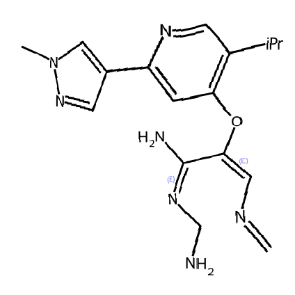 C=N/C=C(Oc1cc(-c2cnn(C)c2)ncc1C(C)C)\C(N)=N/CN